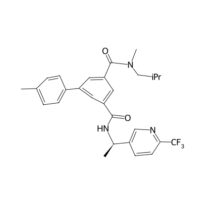 Cc1ccc(-c2cc(C(=O)N[C@H](C)c3ccc(C(F)(F)F)nc3)cc(C(=O)N(C)CC(C)C)c2)cc1